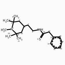 CN1C(C)(C)CC(CCNC(=S)Cc2ccccc2)CC1(C)C